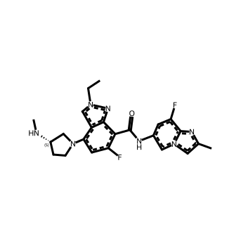 CCn1cc2c(N3CC[C@H](NC)C3)cc(F)c(C(=O)Nc3cc(F)c4nc(C)cn4c3)c2n1